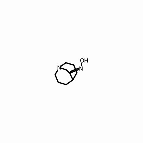 O/N=C1\CN2CCCC1CCC2